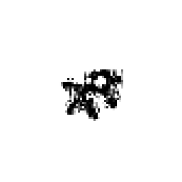 CN1C(=O)[C@H](C[C@@H](O)CNC(=O)OC(C)(C)C)NC(=O)[C@@H](NC(=O)OC(C)(C)C)Cc2cc(ccc2O)-c2cccc(c2)C[C@H]1C(=O)N[C@@H](CCCNC(=O)OC(C)(C)C)C(=O)N[C@@H](CCCNC(=O)OC(C)(C)C)CC(=O)NCCNC(=O)OC(C)(C)C